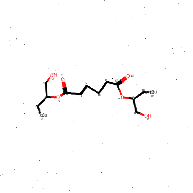 CC(C)(C)CC(CO)OC(=O)CCCCC(=O)OC(CO)CC(C)(C)C